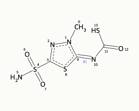 Cn1nc(S(N)(=O)=O)s/c1=N/C(=O)S